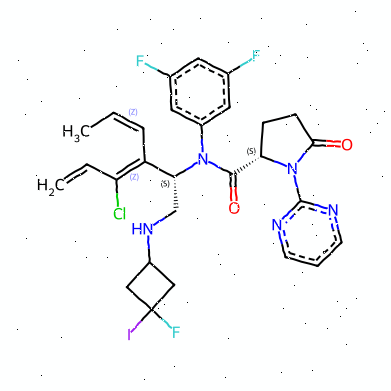 C=C/C(Cl)=C(\C=C/C)[C@@H](CNC1CC(F)(I)C1)N(C(=O)[C@@H]1CCC(=O)N1c1ncccn1)c1cc(F)cc(F)c1